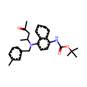 CC(=O)CC(C)N(Cc1cccc(C)c1)c1ccc(NC(=O)OC(C)(C)C)c2ccccc12